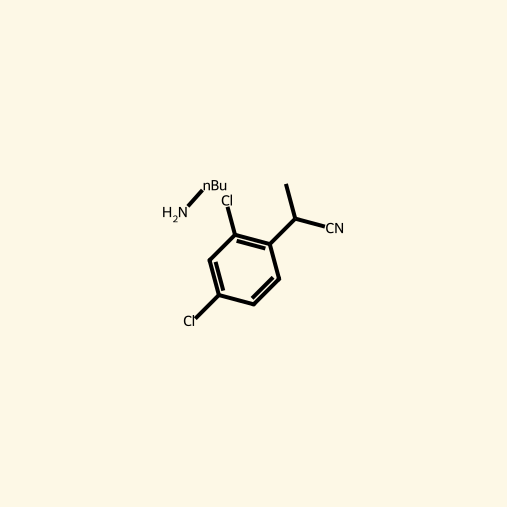 CC(C#N)c1ccc(Cl)cc1Cl.CCCCN